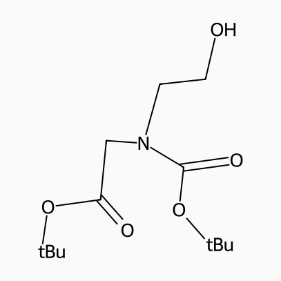 CC(C)(C)OC(=O)CN(CCO)C(=O)OC(C)(C)C